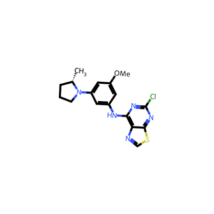 COc1cc(Nc2nc(Cl)nc3scnc23)cc(N2CCC[C@@H]2C)c1